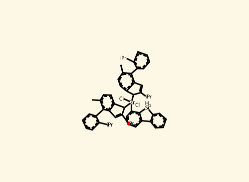 Cc1ccc2c(c1-c1ccccc1C(C)C)C=C(C(C)C)[CH]2[Zr]([Cl])([Cl])([c]1cccc2c1[SiH2]c1ccccc1-2)[CH]1C(C(C)C)=Cc2c1ccc(C)c2-c1ccccc1C(C)C